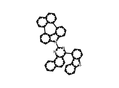 c1cc2c3c(cccc3c1)-c1cccc3c1c1c-2cccc1n3-c1nc(-c2cccc3sc4ccccc4c23)c2ccc3ccccc3c2n1